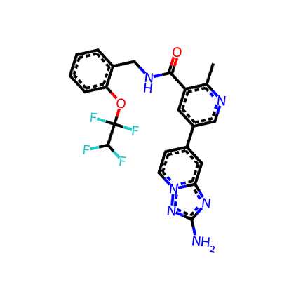 Cc1ncc(-c2ccn3nc(N)nc3c2)cc1C(=O)NCc1ccccc1OC(F)(F)C(F)F